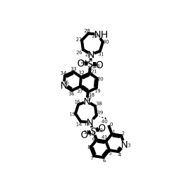 Cc1cncc2cccc(S(=O)(=O)N3CCCN(c4ccc(S(=O)(=O)N5CCCNCC5)c5ccncc45)C[C@@H]3C)c12